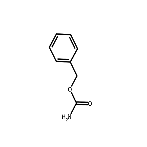 NC(=O)OCc1cc[c]cc1